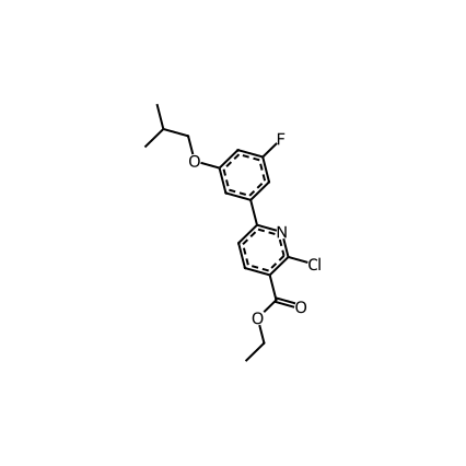 CCOC(=O)c1ccc(-c2cc(F)cc(OCC(C)C)c2)nc1Cl